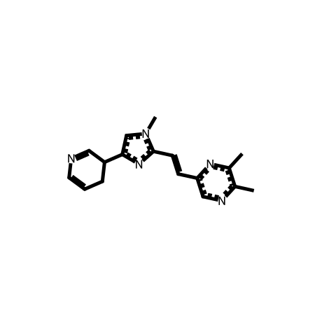 Cc1ncc(/C=C/c2nc(C3C=NC=CC3)cn2C)nc1C